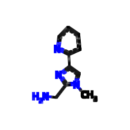 Cn1cc(-c2ccccn2)nc1CN